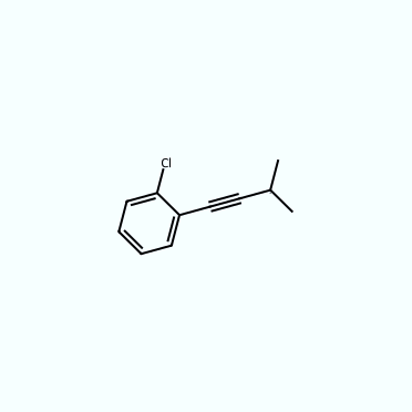 C[C](C)C#Cc1ccccc1Cl